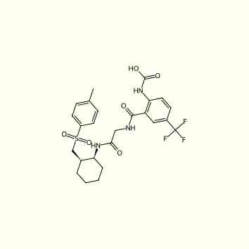 Cc1ccc(S(=O)(=O)C[C@@H]2CCCC[C@@H]2NC(=O)CNC(=O)c2cc(C(F)(F)F)ccc2NC(=O)O)cc1